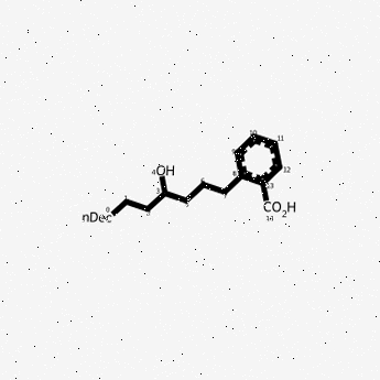 CCCCCCCCCCCCC(O)CCCc1ccccc1C(=O)O